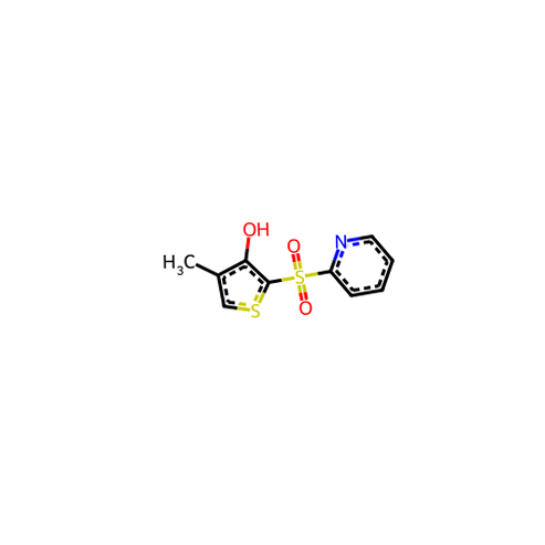 Cc1csc(S(=O)(=O)c2ccccn2)c1O